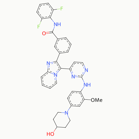 COc1cc(N2CCC(O)CC2)ccc1Nc1nccc(-c2c(-c3cccc(C(=O)Nc4c(F)cccc4F)c3)nc3ccccn23)n1